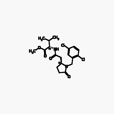 COC(=O)[C@@H](NC(=O)C[C@@H]1CCC(=O)N1Cc1cc(Cl)ccc1Cl)C(C)C